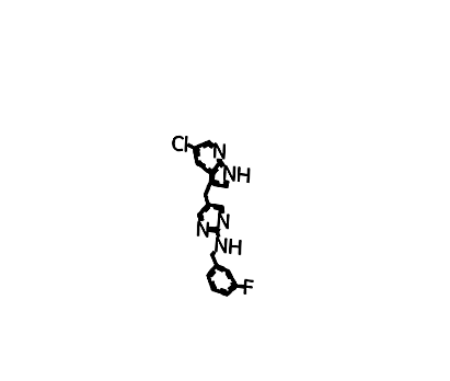 Fc1cccc(CNc2ncc(Cc3c[nH]c4ncc(Cl)cc34)cn2)c1